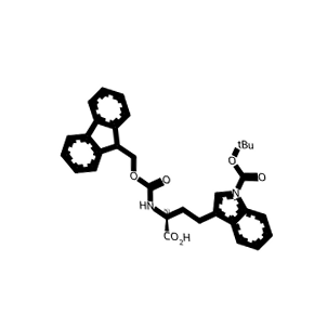 CC(C)(C)OC(=O)n1cc(CC[C@H](NC(=O)OCC2c3ccccc3-c3ccccc32)C(=O)O)c2ccccc21